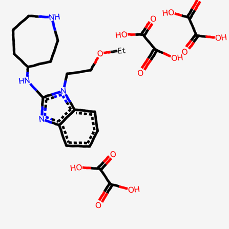 CCOCCn1c(NC2CCCNCC2)nc2ccccc21.O=C(O)C(=O)O.O=C(O)C(=O)O.O=C(O)C(=O)O